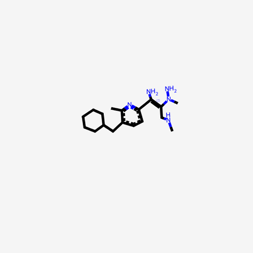 CNC/C(=C(/N)c1ccc(CC2CCCCC2)c(C)n1)N(C)N